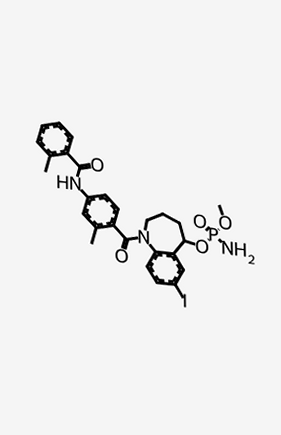 COP(N)(=O)OC1CCCN(C(=O)c2ccc(NC(=O)c3ccccc3C)cc2C)c2ccc(I)cc21